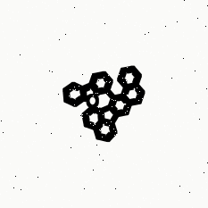 c1cc2c3c(cccc3c1)-c1c-2cc2ccc3ccccc3c2c1-c1cccc2c1oc1ccccc12